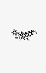 CC(=O)O.Nc1ncc(Cc2ccc(OCc3ccccc3)cc2)c(N)n1